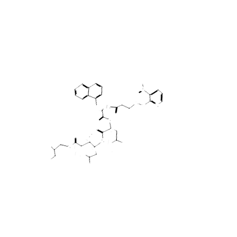 CCC(C)CNC(=O)C[C@H](O)[C@H](CC(C)C)NC(=O)[C@H](CC(C)C)NC(=O)[C@H](Cc1cccc2ccccc12)NC(=O)CCSSc1ncccc1[N+](=O)[O-]